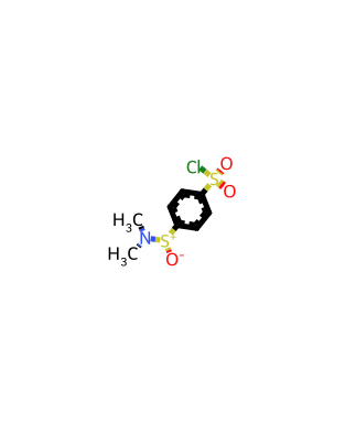 CN(C)[S+]([O-])c1ccc(S(=O)(=O)Cl)cc1